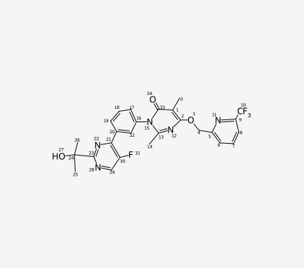 Cc1c(OCc2cccc(C(F)(F)F)n2)nc(C)n(-c2cccc(-c3nc(C(C)(C)O)ncc3F)c2)c1=O